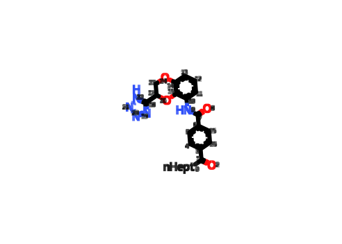 CCCCCCCC(=O)c1ccc(C(=O)Nc2cccc3c2OC(c2nnn[nH]2)CO3)cc1